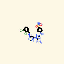 Nc1nc(Nc2ccc(S(N)(=O)=O)cc2)nn1-c1cc(NCc2cccc(Cl)c2Cl)ncn1